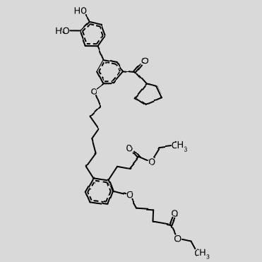 CCOC(=O)CCCOc1cccc(CCCCCCOc2cc(C(=O)C3CCCC3)cc(-c3ccc(O)c(O)c3)c2)c1CCC(=O)OCC